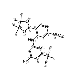 CCc1cc(Nc2cc(NC(C)=O)ncc2B2OC(C)(C)C(C)(C)O2)nc(C(C)(F)F)n1